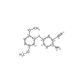 COc1ccc(OC)c(Cc2ccc(N)c(C#N)c2)c1